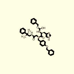 CC(C)(CNC(=O)CN(Cc1ccc(OCc2ccccc2)cc1)C(=O)[C@H](Cc1c[nH]cn1)N[C@H](O)OCc1ccccc1)c1ccccc1